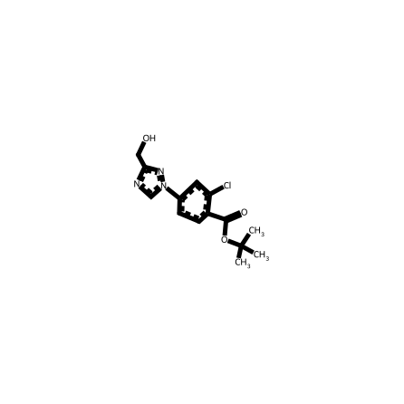 CC(C)(C)OC(=O)c1ccc(-n2cnc(CO)n2)cc1Cl